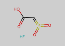 F.O=C(O)C=S(=O)=O